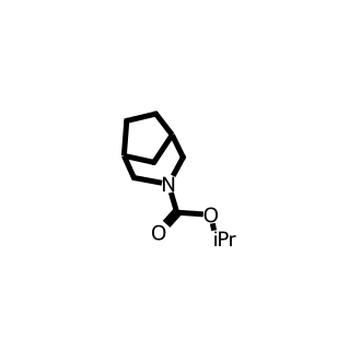 CC(C)OC(=O)N1CC2CCC(C2)C1